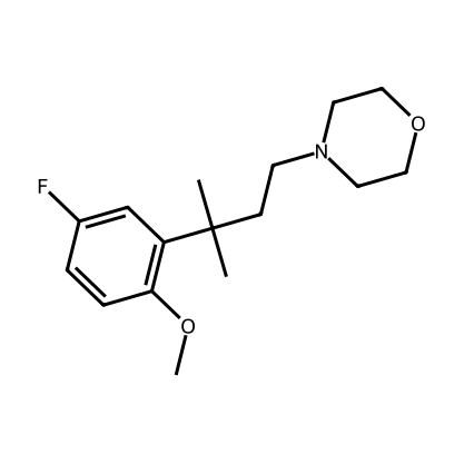 COc1ccc(F)cc1C(C)(C)CCN1CCOCC1